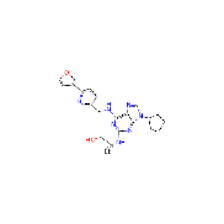 CC[C@H](CO)Nc1nc(NCc2ccc(-c3ccoc3)nc2)c2ncn(C3CCCC3)c2n1